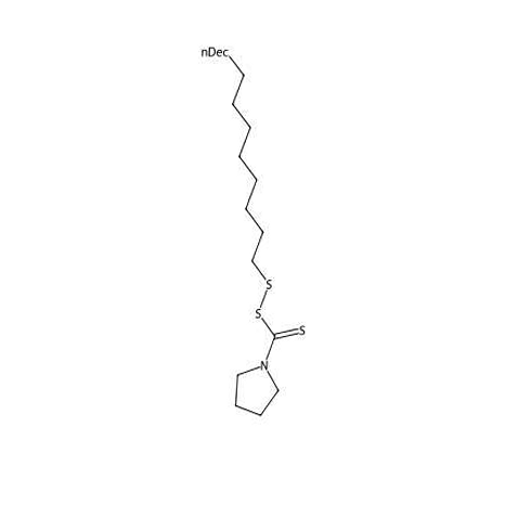 CCCCCCCCCCCCCCCCCCSSC(=S)N1CCCC1